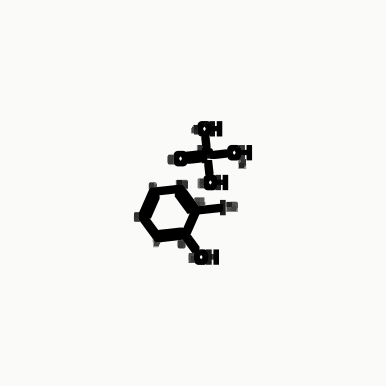 O=P(O)(O)O.Oc1ccccc1I